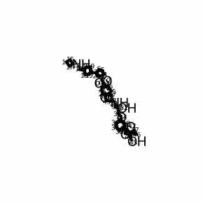 O=S(=O)(c1cccc(-c2ccc(CNC3CCC3)cc2)c1)N1CCC2(CC1)C[C@@H](NC[C@H](O)COc1cccc(S(=O)(=O)C3(CO)CC3)c1)CO2